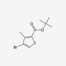 Cc1c(Br)csc1C(=O)OC(C)(C)C